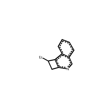 CCC1Cc2ncc3ccccc3c21